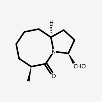 C[C@H]1CCCC[C@H]2CC[C@@H](C=O)N2C1=O